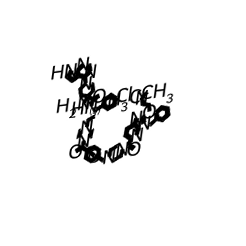 CN(C)CCOc1ccccc1Cn1cnc2ccc(C(=O)N3CCN(CC45CCC(C(=O)N6CCN(CC[C@H](NC(=O)C7(N)CCN(c8ncnc9[nH]ccc89)CC7)c7ccc(Cl)cc7)CC6)(CC4)CO5)CC3)nc21